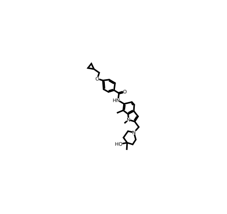 Cc1c(NC(=O)c2ccc(OCC3CC3)cc2)ccc2cc(CN3CCC(C)(O)CC3)n(C)c12